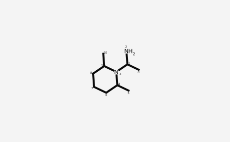 CC(N)N1C(C)CCCC1C